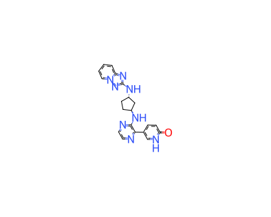 O=c1ccc(-c2nccnc2N[C@H]2CC[C@H](Nc3nc4ccccn4n3)C2)c[nH]1